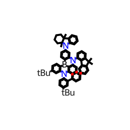 Cc1cc2c3c(c1)N(c1cccc4c1-c1ccccc1C4(C)C)c1cc(N4c5ccccc5C5(C)CCCCC45C)ccc1B3c1ccc(C(C)(C)C)cc1N2c1ccc(C(C)(C)C)cc1-c1ccccc1